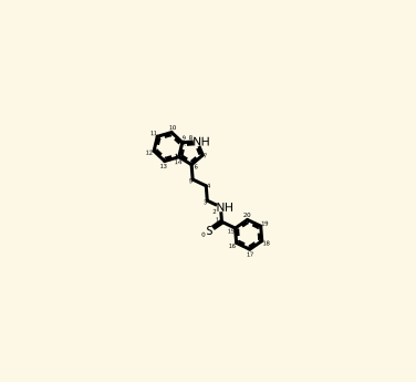 S=C(NCCCc1c[nH]c2ccccc12)c1ccccc1